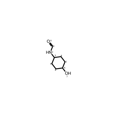 O=CNC1CCC(O)CC1